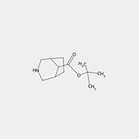 CC(C)(C)OC(=O)C1C2CCC1CNC2